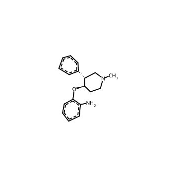 CN1CC[C@@H](Oc2ccccc2N)[C@H](c2ccccc2)C1